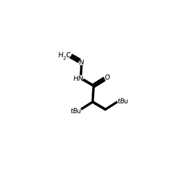 C=NNC(=O)C(CC(C)(C)C)C(C)(C)C